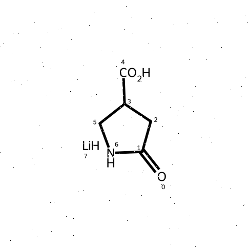 O=C1CC(C(=O)O)CN1.[LiH]